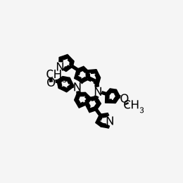 COc1ccc(-n2c3ccc4cc(-c5cccnc5)cc(c4c3)n(-c3ccc(OC)cc3)c3ccc4cc(-c5cccnc5)cc2c4c3)cc1